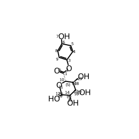 O=C(Oc1ccc(O)cc1)[C@H]1O[C@H](O)[C@H](O)[C@@H](O)[C@@H]1O